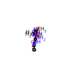 COc1cc(Nc2c(C(N)=O)c(-c3ccc(NC(=O)N4CCC(c5ccccc5)CC4)cc3)nn2C(C)(C)C)ccn1